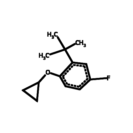 CC(C)(C)c1cc(F)ccc1OC1CC1